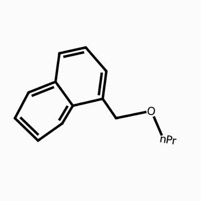 CCCOCc1cccc2ccccc12